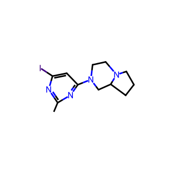 Cc1nc(I)cc(N2CCN3CCCC3C2)n1